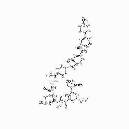 CC(=O)N[C@@H](CC(=O)O)C(=O)N[C@@H](CCC(=O)O)C(=O)NC(C(=O)N[C@@H](CC(=O)O)C(=O)NCCN(C)c1ccc(-c2nc3ccc(-c4nc5ccc(N6CCN(C)CC6)cc5[nH]4)cc3[nH]2)cc1)C(C)C